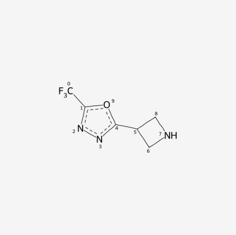 FC(F)(F)c1nnc(C2CNC2)o1